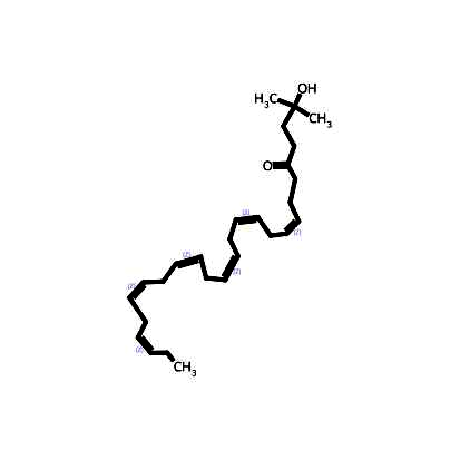 CC/C=C\C/C=C\C/C=C\C/C=C\C/C=C\C/C=C\CCC(=O)CCC(C)(C)O